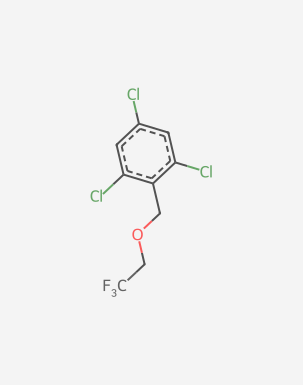 FC(F)(F)COCc1c(Cl)cc(Cl)cc1Cl